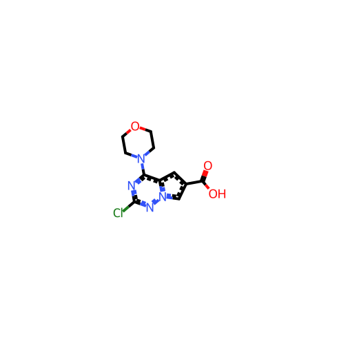 O=C(O)c1cc2c(N3CCOCC3)nc(Cl)nn2c1